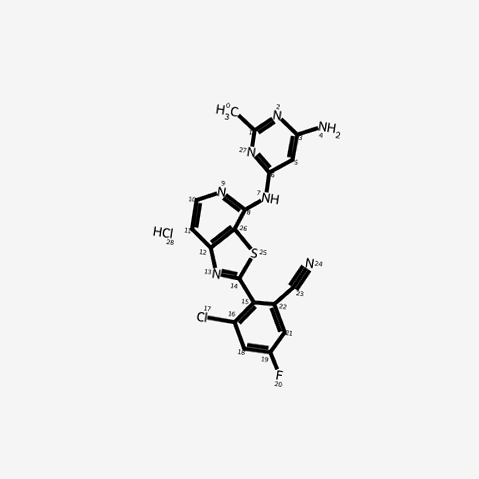 Cc1nc(N)cc(Nc2nccc3nc(-c4c(Cl)cc(F)cc4C#N)sc23)n1.Cl